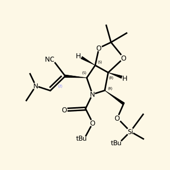 CN(C)/C=C(\C#N)[C@H]1[C@@H]2OC(C)(C)O[C@@H]2[C@@H](CO[Si](C)(C)C(C)(C)C)N1C(=O)OC(C)(C)C